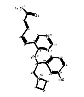 NC(=O)/C=C/C=C\c1cncnc1NC(CN1CCC1)c1cccc(Br)c1